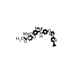 C=CC(=O)N1CCC(Oc2cc3c(Nc4ccc(Oc5ccn(-c6ccc(C7CC7)nc6)n5)cc4F)ncnc3cc2OC)CC1